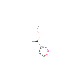 CCOC(=O)c1ccon1